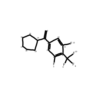 C=C(c1cc(F)c(C(F)(F)F)c(F)c1)C1CCCCC1